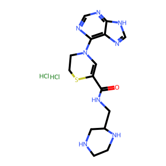 Cl.Cl.O=C(NCC1CNCCN1)C1=CN(c2ncnc3[nH]cnc23)CCS1